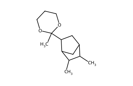 CC1C2CC(C1C)C(C1(C)OCCCO1)C2